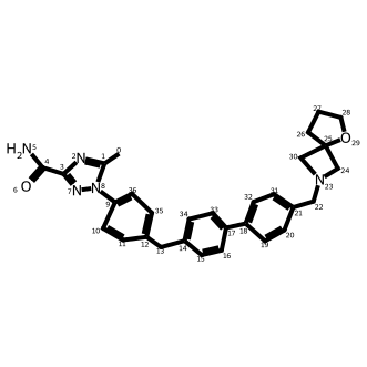 Cc1nc(C(N)=O)nn1-c1ccc(Cc2ccc(-c3ccc(CN4CC5(CCCO5)C4)cc3)cc2)cc1